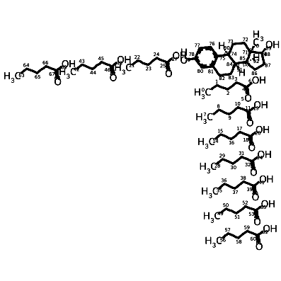 CCCCC(=O)O.CCCCC(=O)O.CCCCC(=O)O.CCCCC(=O)O.CCCCC(=O)O.CCCCC(=O)O.CCCCC(=O)O.CCCCC(=O)O.CCCCC(=O)O.CCCCC(=O)O.C[C@]12CC[C@@H]3c4ccc(O)cc4CC[C@H]3[C@@H]1CC[C@@H]2O